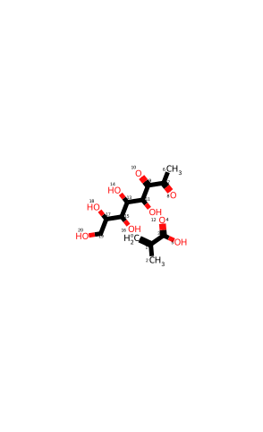 C=C(C)C(=O)O.CC(=O)C(=O)C(O)C(O)C(O)C(O)CO